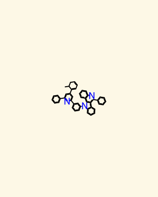 CC1CC=CC=C1c1cc(-c2ccccc2)nc(-c2cccc(-n3c4ccccc4c4c(-c5ccccc5)nc5ccccc5c43)c2)c1